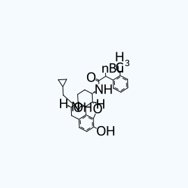 CCCCC(C(=O)N[C@@H]1CC[C@@]2(O)[C@H]3Cc4ccc(O)c5c4[C@@]2(CCN3CC2CC2)[C@H]1O5)c1ccccc1C